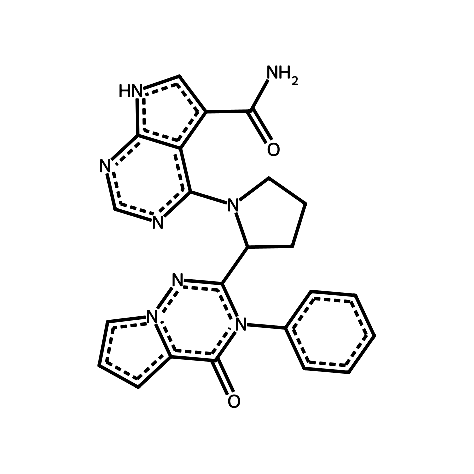 NC(=O)c1c[nH]c2ncnc(N3CCCC3c3nn4cccc4c(=O)n3-c3ccccc3)c12